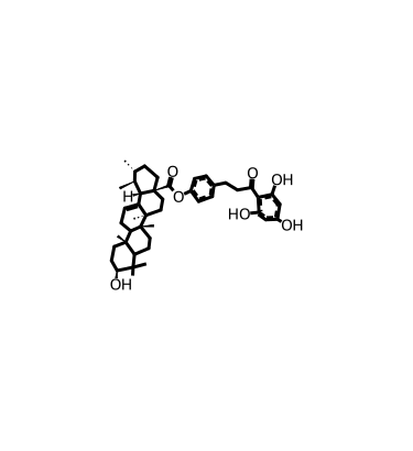 C[C@H]1[C@H](C)CC[C@]2(C(=O)Oc3ccc(CCC(=O)c4c(O)cc(O)cc4O)cc3)CC[C@]3(C)C(=CCC4[C@@]5(C)CC[C@H](O)C(C)(C)C5CC[C@]43C)[C@H]12